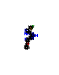 Fc1ccc(-c2cncc3[nH]c(-c4n[nH]c5ncc(-c6cncc(OCc7ccccc7)c6)cc45)cc23)s1